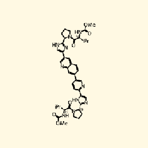 COC(=O)N[C@H](C(=O)N1CCCC1c1nc(-c2cnc3cc(-c4ccc(-c5cnc([C@@H]6CCCN6C(=O)[C@@H](NC(=O)OC)C(C)C)[nH]5)nc4)ccc3c2)c[nH]1)C(C)C